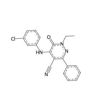 CCn1nc(-c2ccccc2)c(C#N)c(Nc2cccc(Cl)c2)c1=O